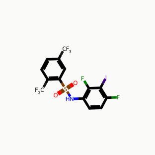 O=S(=O)(Nc1ccc(F)c(I)c1F)c1cc(C(F)(F)F)ccc1C(F)(F)F